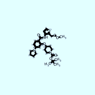 COOCc1sccc1NC(=O)c1ccc(N2CCCC2)cc1OC1CCN(C(=O)OC(C)(C)C)CC1